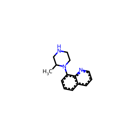 CC1CNCCN1c1cccc2cccnc12